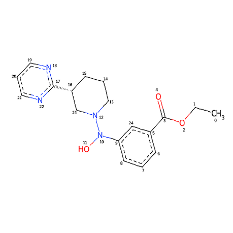 CCOC(=O)c1cccc(N(O)N2CCC[C@@H](c3ncccn3)C2)c1